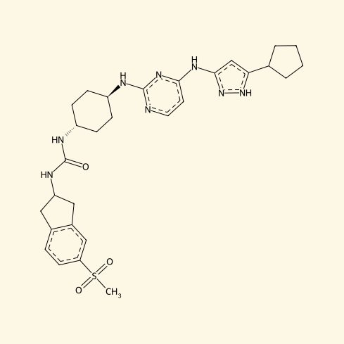 CS(=O)(=O)c1ccc2c(c1)CC(NC(=O)N[C@H]1CC[C@H](Nc3nccc(Nc4cc(C5CCCC5)[nH]n4)n3)CC1)C2